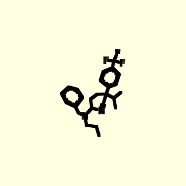 CCCN(Cc1ccccc1)C(C)CCC(C#N)(c1ccc(C(F)(F)F)cc1)C(C)C